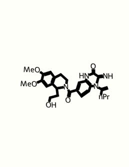 C=C(CCC)n1c(=N)c(=O)[nH]c2cc(C(=O)N3CCc4cc(OC)c(OC)cc4C3CCO)ccc21